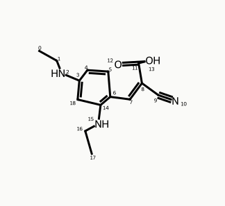 CCNc1ccc(C=C(C#N)C(=O)O)c(NCC)c1